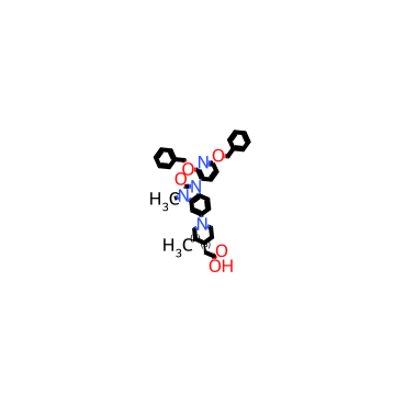 C[C@H]1CN(c2ccc3c(c2)n(C)c(=O)n3-c2ccc(OCc3ccccc3)nc2OCc2ccccc2)CC[C@H]1CC(=O)O